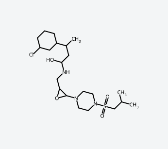 CC(C)CS(=O)(=O)N1CCN(C2OC2CNC(O)CC(C)C2CCCC(Cl)C2)CC1